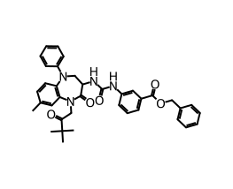 Cc1ccc2c(c1)N(CC(=O)C(C)(C)C)C(=O)C(NC(=O)Nc1cccc(C(=O)OCc3ccccc3)c1)CN2c1ccccc1